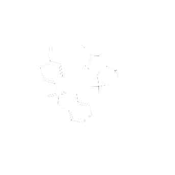 CC(=O)c1sc(N)nc1C(F)(F)F.Cc1ccc(S(=O)(=O)Oc2c(O)cccc2I)cc1